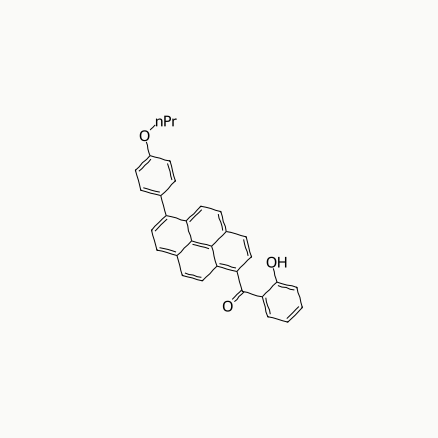 CCCOc1ccc(-c2ccc3ccc4c(C(=O)c5ccccc5O)ccc5ccc2c3c54)cc1